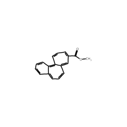 COC(=O)C1=CC=CC2=c3ccccc3=CC=CC2=C1